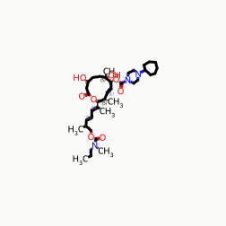 CCCN(C)C(=O)OCC(C)/C=C/C=C(\C)[C@H]1OC(=O)C[C@@H](O)CC[C@](C)(O)[C@@H](OC(=O)N2CCN(C3CCCCCC3)CC2)/C=C/[C@@H]1C